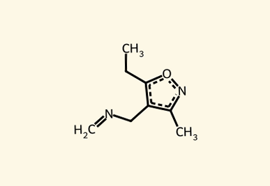 C=NCc1c(C)noc1CC